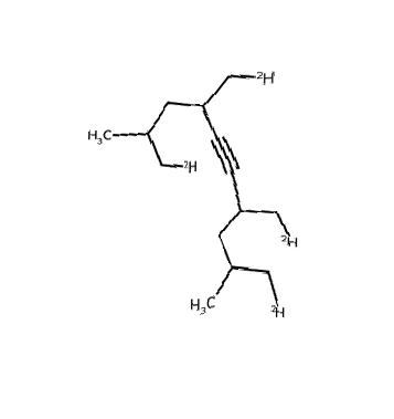 [2H]CC(C)CC(C#CC(C[2H])CC(C)C[2H])C[2H]